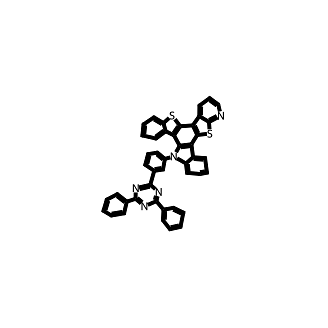 c1ccc(-c2nc(-c3ccccc3)nc(-c3cccc(-n4c5ccccc5c5c6sc7ncccc7c6c6sc7ccccc7c6c54)c3)n2)cc1